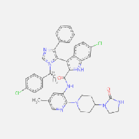 Cc1cnc(N2CCC(N3CCNC3=O)CC2)c(NC(=O)c2[nH]c3cc(Cl)ccc3c2-c2c(-c3ccccc3)ncn2[C@@H](C)c2ccc(Cl)cc2)c1